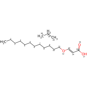 CCCCCCCCCCCCOC=CC(=O)O.C[SiH2]C